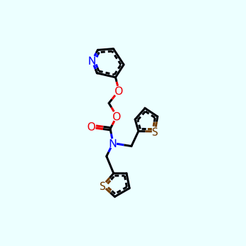 O=C(OCOc1cccnc1)N(Cc1cccs1)Cc1cccs1